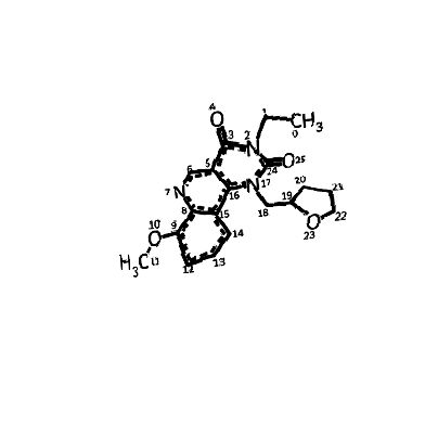 CCn1c(=O)c2cnc3c(OC)cccc3c2n(CC2CCCO2)c1=O